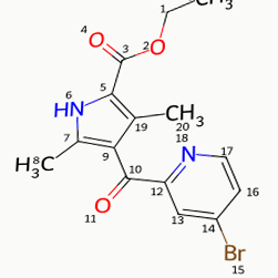 CCOC(=O)c1[nH]c(C)c(C(=O)c2cc(Br)ccn2)c1C